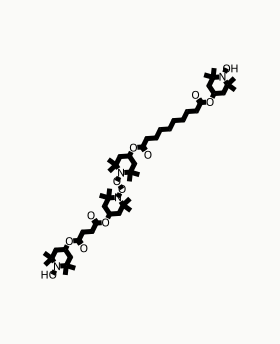 CC1(C)CC(OC(=O)CCCCCCCCC(=O)OC2CC(C)(C)N(OON3C(C)(C)CC(OC(=O)CCC(=O)OC4CC(C)(C)N(O)C(C)(C)C4)CC3(C)C)C(C)(C)C2)CC(C)(C)N1O